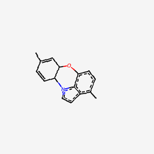 CC1=CC2Oc3ccc(C)c4ccn(c34)C2C=C1